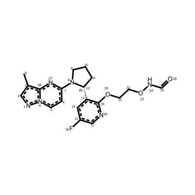 Cc1cnn2ccc(N3CCC[C@@H]3c3cc(F)cnc3OCCONC=O)nc12